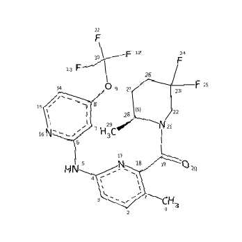 Cc1ccc(Nc2cc(OC(F)(F)F)ccn2)nc1C(=O)N1CC(F)(F)CC[C@@H]1C